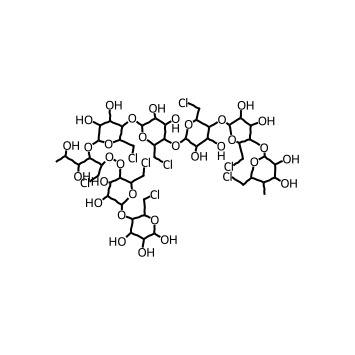 CC(O)C(O)C(OC1OC(CCl)C(OC2OC(CCl)C(OC3OC(CCl)C(OC4OC(CCl)C(OC5OC(CCl)C(C)C(O)C5O)C(O)C4O)C(O)C3O)C(O)C2O)C(O)C1O)C(CCl)OOC1C(CCl)OC(OC2C(CCl)OC(O)C(O)C2O)C(O)C1O